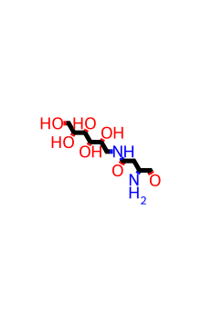 NC(C=O)CC(=O)NCC(O)C(O)C(O)C(O)CO